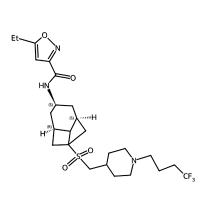 CCc1cc(C(=O)N[C@@H]2C[C@@H]3CC4(S(=O)(=O)CC5CCN(CCCC(F)(F)F)CC5)C[C@H](C2)C34)no1